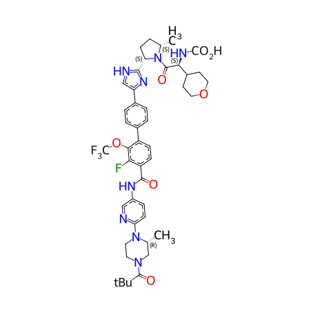 C[C@@H]1CN(C(=O)C(C)(C)C)CCN1c1ccc(NC(=O)c2ccc(-c3ccc(-c4c[nH]c([C@@H]5CC[C@H](C)N5C(=O)[C@@H](NC(=O)O)C5CCOCC5)n4)cc3)c(OC(F)(F)F)c2F)cn1